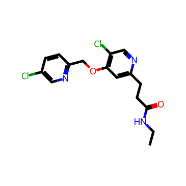 CCNC(=O)CCc1cc(OCc2ccc(Cl)cn2)c(Cl)cn1